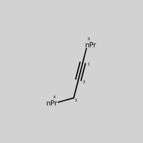 C[CH]CC#CCCCC